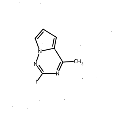 Cc1nc(I)nn2cccc12